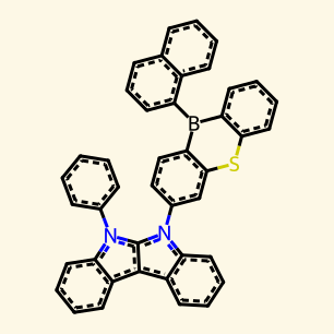 c1ccc(-n2c3ccccc3c3c4ccccc4n(-c4ccc5c(c4)Sc4ccccc4B5c4cccc5ccccc45)c32)cc1